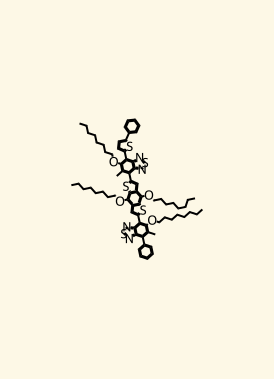 CCCCCCCCOc1c(C)c(-c2ccccc2)c2nsnc2c1-c1cc2c(OCCCCCCCC)c3sc(-c4c(C)c(OCCCCCCCC)c(-c5ccc(-c6ccccc6)s5)c5nsnc45)cc3c(OCCCCCCCC)c2s1